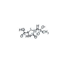 CS(=O)(=O)N[C@@H]1C[C@H](C(=O)O)NC1=O